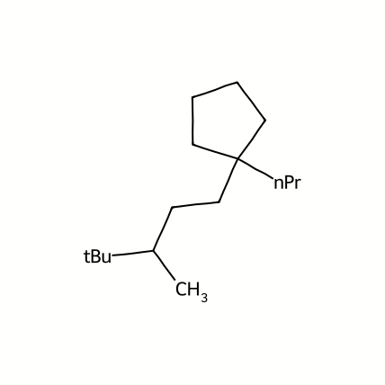 CCCC1(CCC(C)C(C)(C)C)CCCC1